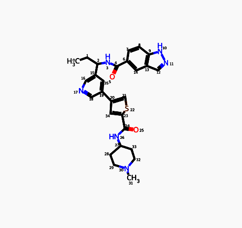 CCC(NC(=O)c1ccc2[nH]ncc2c1)c1cncc(-c2csc(C(=O)NC3CCN(C)CC3)c2)c1